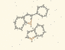 c1ccc(-c2cc3ccccc3s2)cc1.c1ccc2sccc2c1